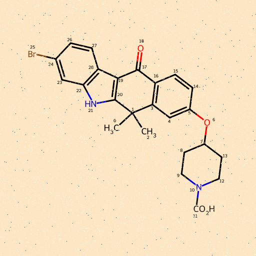 CC1(C)c2cc(OC3CCN(C(=O)O)CC3)ccc2C(=O)c2c1[nH]c1cc(Br)ccc21